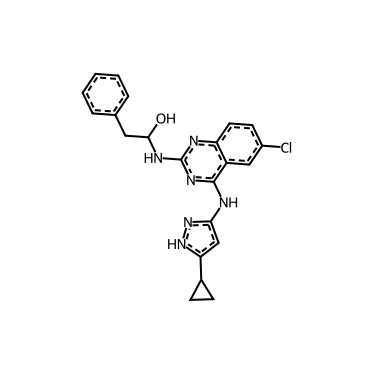 OC(Cc1ccccc1)Nc1nc(Nc2cc(C3CC3)[nH]n2)c2cc(Cl)ccc2n1